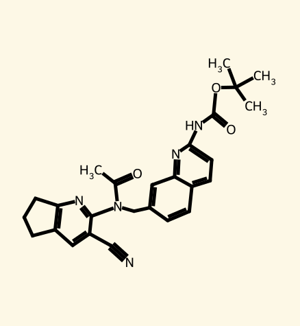 CC(=O)N(Cc1ccc2ccc(NC(=O)OC(C)(C)C)nc2c1)c1nc2c(cc1C#N)CCC2